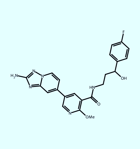 COc1ncc(-c2ccn3nc(N)nc3c2)cc1C(=O)NCCC(O)c1ccc(F)cc1